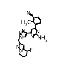 Cc1c(C#N)cccc1-c1cc(-c2cn(Cc3cc4n(n3)CCCC4F)nn2)nc(N)n1